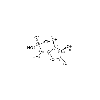 O=P(O)(O)C(O)[C@H]1OC(Cl)[C@H](O)[C@@H]1O